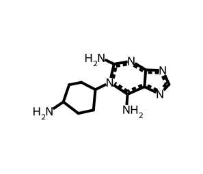 Nc1nc2ncnc-2c(N)n1C1CCC(N)CC1